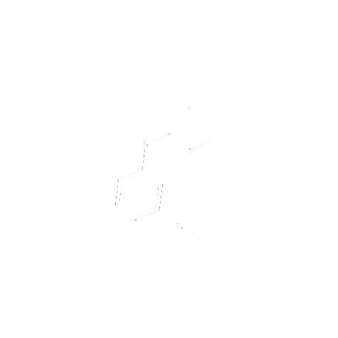 Nc1cccc(N[C@@H](CS)C(=O)O)c1